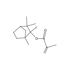 C=C(C)C(=O)OC1(I)C2(C)CCC(C2)C1(C)C